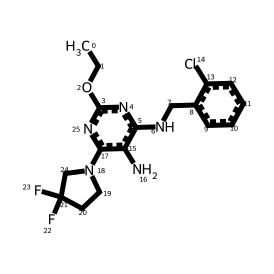 CCOc1nc(NCc2ccccc2Cl)c(N)c(N2CCC(F)(F)C2)n1